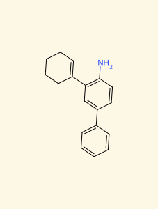 Nc1ccc(-c2ccccc2)cc1C1=CCCCC1